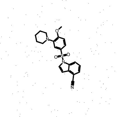 COc1ccc(S(=O)(=O)n2ccc3c(C#N)cccc32)cc1N1CCCCC1